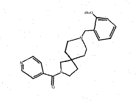 CC(C)COc1ccccc1CN1CCC2(CC1)CCN(C(=O)c1ccncc1)C2